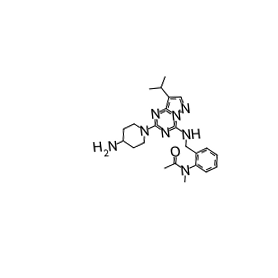 CC(=O)N(C)c1ccccc1CNc1nc(N2CCC(N)CC2)nc2c(C(C)C)cnn12